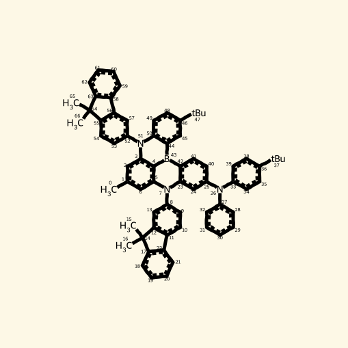 Cc1cc2c3c(c1)N(c1ccc4c(c1)C(C)(C)c1ccccc1-4)c1cc(N(c4ccccc4)c4ccc(C(C)(C)C)cc4)ccc1B3c1cc(C(C)(C)C)ccc1N2c1ccc2c(c1)-c1ccccc1C2(C)C